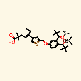 CCC(=CCC(C)(C)C(=O)O)c1csc(COc2ccc(C(O[SiH](C)C)C(C)(C)C)c(C(O[SiH](C)C)C(C)(C)C)c2)c1